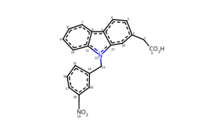 O=C(O)Cc1ccc2c3ccccc3n(Cc3cccc([N+](=O)[O-])c3)c2c1